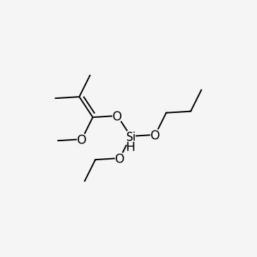 CCCO[SiH](OCC)OC(OC)=C(C)C